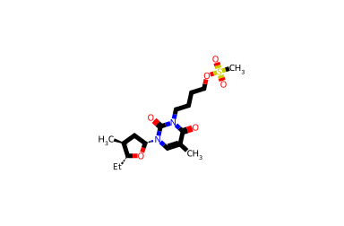 CC[C@H]1O[C@@H](n2cc(C)c(=O)n(CCCCOS(C)(=O)=O)c2=O)C[C@@H]1C